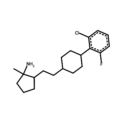 CC1(N)CCCC1CCC1CCC(c2c(F)cccc2Cl)CC1